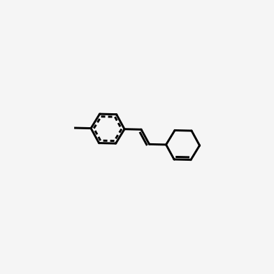 Cc1ccc(C=CC2C=CCCC2)cc1